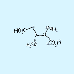 NC(CCC(=O)O)C(=O)O.[SeH2]